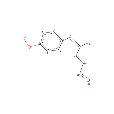 COc1ccc(C=C(C)C=CC=O)cc1